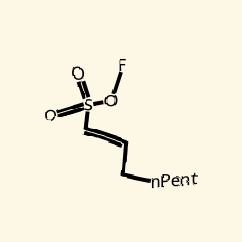 CCCCCCC=CS(=O)(=O)OF